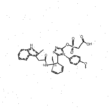 CC[C@]1(NC(=O)Cc2c(C)[nH]c3ccccc23)C=CC=CC1c1nnc(OS(=O)(=O)CC(=O)O)n1-c1ccc(OC)cc1